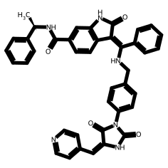 C[C@@H](NC(=O)c1ccc2c(c1)NC(=O)C2=C(NCc1ccc(N2C(=O)NC(=Cc3ccncc3)C2=O)cc1)c1ccccc1)c1ccccc1